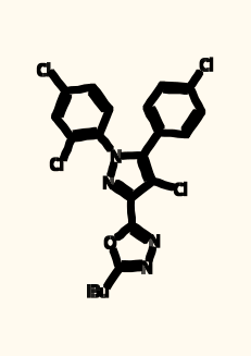 CCC(C)c1nnc(-c2nn(-c3ccc(Cl)cc3Cl)c(-c3ccc(Cl)cc3)c2Cl)o1